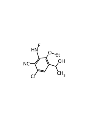 CCOc1c(C(C)O)cc(Cl)c(C#N)c1NF